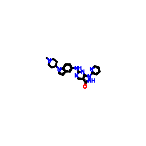 CN1CCC(n2ccc3cc(Nc4ncc5c(=O)[nH]n(-c6ccccn6)c5n4)ccc32)CC1